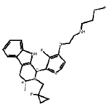 C[C@@H]1Cc2c([nH]c3ccccc23)[C@@H](c2nccc(OCCNCCCF)c2F)N1CC1(F)CC1